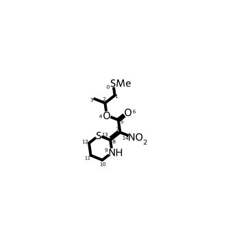 CSCC(C)OC(=O)C(=C1NCCCS1)[N+](=O)[O-]